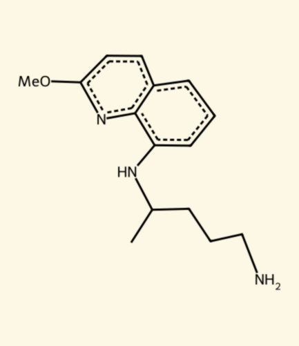 COc1ccc2cccc(NC(C)CCCN)c2n1